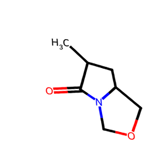 CC1CC2COCN2C1=O